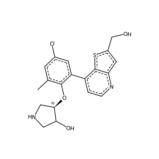 Cc1cc(Cl)cc(-c2ccnc3cc(CO)sc23)c1O[C@@H]1CNCC1O